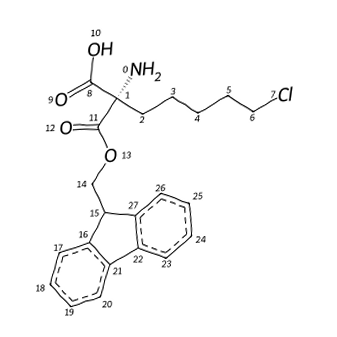 N[C@@](CCCCCCl)(C(=O)O)C(=O)OCC1c2ccccc2-c2ccccc21